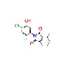 CC1CCCC2=C1C(=O)N(c1cc(O)c(Cl)cc1F)C2=O